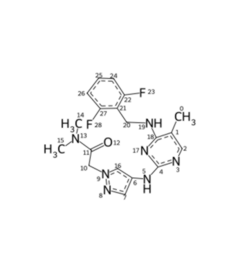 Cc1cnc(Nc2cnn(CC(=O)N(C)C)c2)nc1NCc1c(F)cccc1F